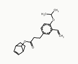 C=Cc1cc(CCC(=O)OC2C3C=CC2CC3)ccc1OC(C)C